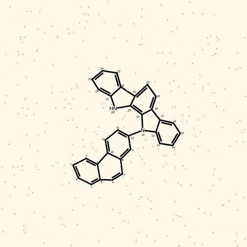 c1ccc2c(c1)ccc1cc(-n3c4ccccc4c4ccc5c6ccccc6[nH]c5c43)ccc12